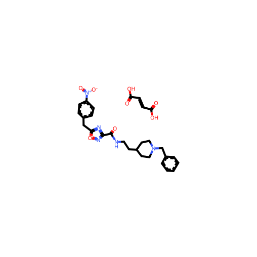 O=C(NCCC1CCN(Cc2ccccc2)CC1)c1noc(Cc2ccc([N+](=O)[O-])cc2)n1.O=C(O)/C=C/C(=O)O